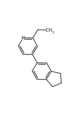 CCc1cc(-c2ccc3c(c2)CCC3)ccn1